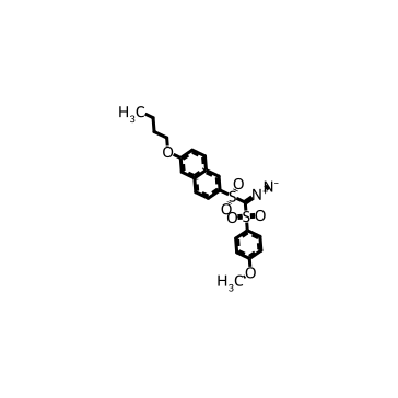 CCCCOc1ccc2cc(S(=O)(=O)C(=[N+]=[N-])S(=O)(=O)c3ccc(OC)cc3)ccc2c1